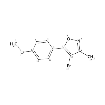 COc1ccc(-c2onc(C)c2Br)cc1